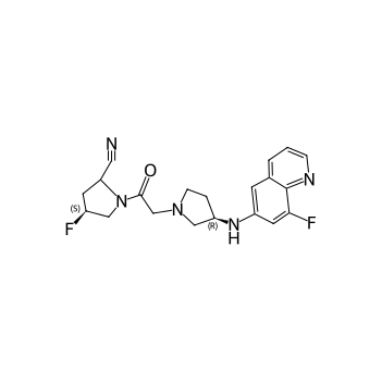 N#CC1C[C@H](F)CN1C(=O)CN1CC[C@@H](Nc2cc(F)c3ncccc3c2)C1